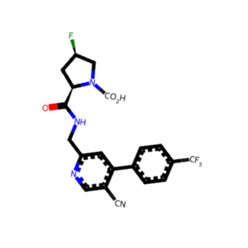 N#Cc1cnc(CNC(=O)[C@H]2C[C@@H](F)CN2C(=O)O)cc1-c1ccc(C(F)(F)F)cc1